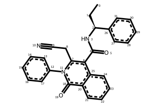 CC[C@H](NC(=O)c1c(CC#N)n(-c2ccccc2)c(=O)c2ccccc12)c1ccccc1